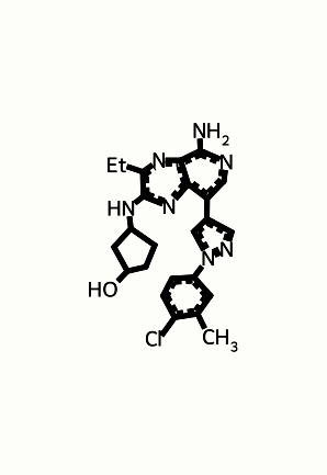 CCc1nc2c(N)ncc(-c3cnn(-c4ccc(Cl)c(C)c4)c3)c2nc1NC1CCC(O)C1